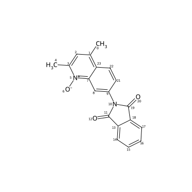 Cc1cc(C)[n+]([O-])c2cc(N3C(=O)c4ccccc4C3=O)ccc12